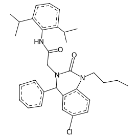 CCCCN1C(=O)N(CC(=O)Nc2c(C(C)C)cccc2C(C)C)C(c2ccccc2)c2cc(Cl)ccc21